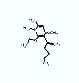 C=C(CCCC)C1=C(OCC)N(C)C(C)=CC1C